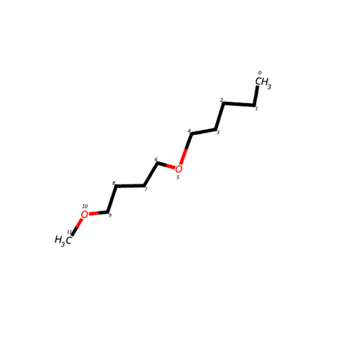 CCCCCOCCCCOC